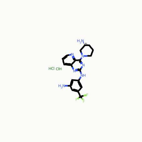 Cl.Cl.Nc1cc(Nc2nc(N3CCC[C@@H](N)C3)c3ncccc3n2)cc(C(F)(F)F)c1